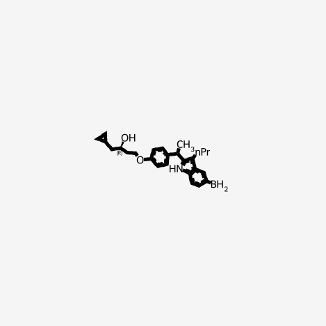 Bc1ccc2[nH]c(C(C)c3ccc(OCC[C@H](O)CC4CC4)cc3)c(CCC)c2c1